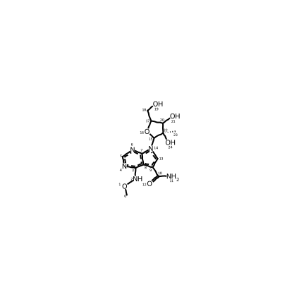 CONc1ncnc2c1c(C(N)=O)cn2C1OC(CO)C(O)[C@@]1(C)O